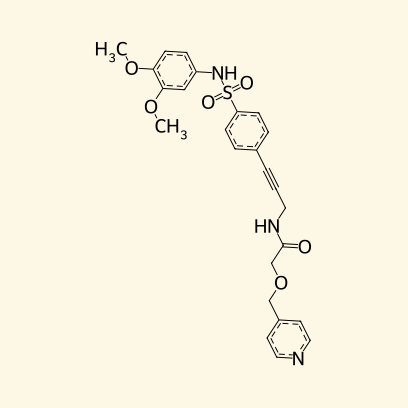 COc1ccc(NS(=O)(=O)c2ccc(C#CCNC(=O)COCc3ccncc3)cc2)cc1OC